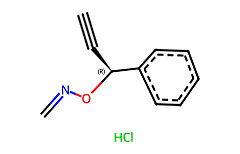 C#C[C@H](ON=C)c1ccccc1.Cl